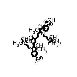 CC1(C)C(/C=C/C(Cl)=C/C=C2/N(CCC[N+](C)(C)C)c3ccc([N+](=O)[O-])cc3C2(C)C)=[N+](CCC[N+](C)(C)C)c2ccc(S(=O)(=O)O)cc21